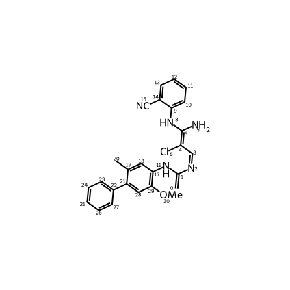 C=C(/N=C\C(Cl)=C(/N)Nc1ccccc1C#N)Nc1cc(C)c(-c2ccccc2)cc1OC